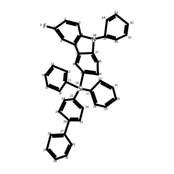 Fc1ccc2c(c1)c1cc([Si](c3ccccc3)(c3ccccc3)c3ccc(-c4ccccc4)cc3)ccc1n2-c1ccccc1